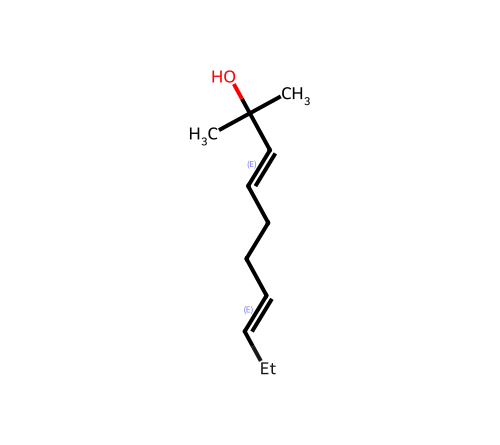 CC/C=C/CC/C=C/C(C)(C)O